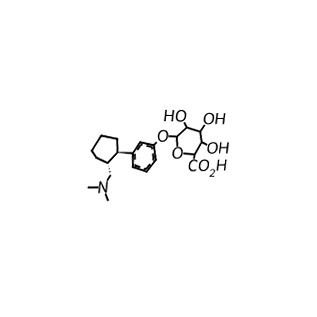 CN(C)C[C@@H]1CCCC[C@H]1c1cccc(OC2OC(C(=O)O)C(O)C(O)C2O)c1